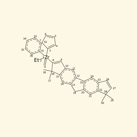 [CH2]=[Zr]([CH2]C)([C]1=CC=CC1)([C]1=Cc2cc3c(cc2C1(C)C)Cc1cc2c(cc1-3)C=CC2(C)C)[c]1ccccc1